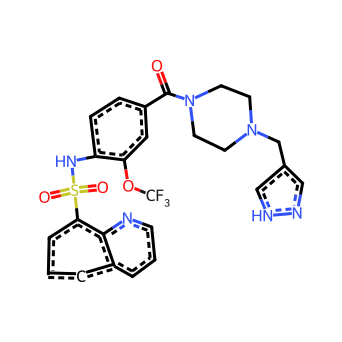 O=C(c1ccc(NS(=O)(=O)c2cccc3cccnc23)c(OC(F)(F)F)c1)N1CCN(Cc2cn[nH]c2)CC1